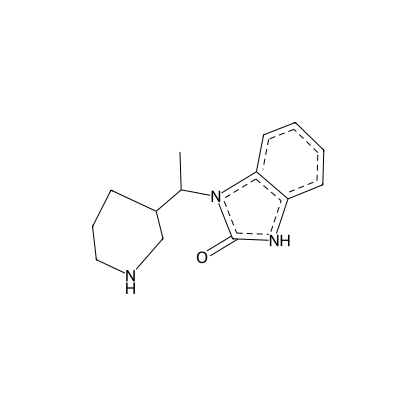 CC(C1CCCNC1)n1c(=O)[nH]c2ccccc21